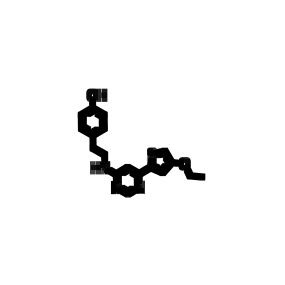 CCOc1csc(-c2cc(NCCc3ccc(O)cc3)ncn2)c1